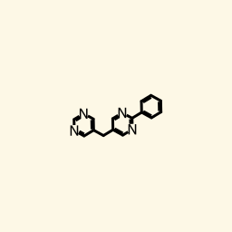 c1ccc(-c2ncc(Cc3cncnc3)cn2)cc1